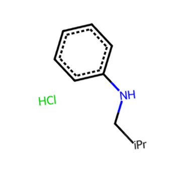 CC(C)CNc1ccccc1.Cl